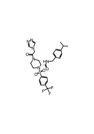 CC(C)c1ccc(CNC(=O)[C@H]2CN(C(=O)Cn3cnnc3)CCN2S(=O)(=O)c2ccc(C(F)(F)F)cc2)cc1